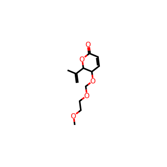 C=C(C)C1OC(=O)C=CC1OCOCCOC